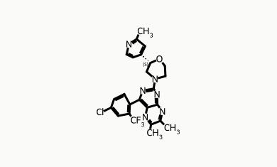 Cc1cc([C@H]2CN(c3nc(-c4ccc(Cl)cc4C(F)(F)F)c4nc(C)c(C)nc4n3)CCO2)ccn1